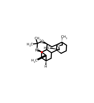 C=C1[C@H]2CCC34C(C2)[C@@]25CCC[C@@](C)(CO[C@H]2C)C5C[C@H]3OC(C)(C)O[C@@H]14